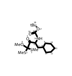 COC(SC)(SC)C(=O)C(CC1CCCCC1)NC(=O)OC(C)(C)C